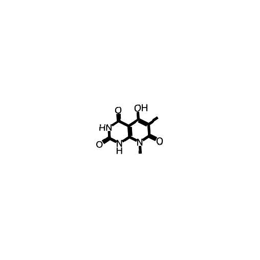 Cc1c(O)c2c(=O)[nH]c(=O)[nH]c2n(C)c1=O